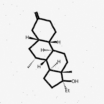 C=C1CC[C@H]2[C@@H](C1)C[C@@H](C)[C@@H]1[C@@H]2CC[C@@]2(C)[C@H]1CC[C@@]2(O)CC